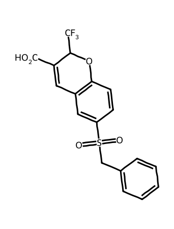 O=C(O)C1=Cc2cc(S(=O)(=O)Cc3ccccc3)ccc2OC1C(F)(F)F